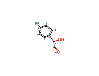 O=C[C@H](O)c1ccc(F)cc1